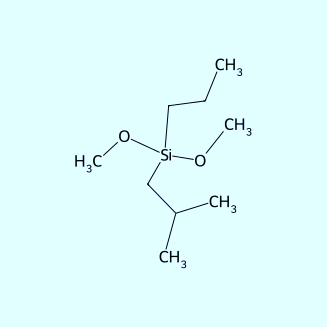 CCC[Si](CC(C)C)(OC)OC